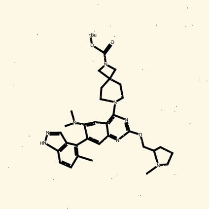 Cc1ccc2[nH]ncc2c1-c1cc2nc(OCC3CCCN3C)nc(N3CCC4(CC3)CN(C(=O)OC(C)(C)C)C4)c2cc1N(C)C